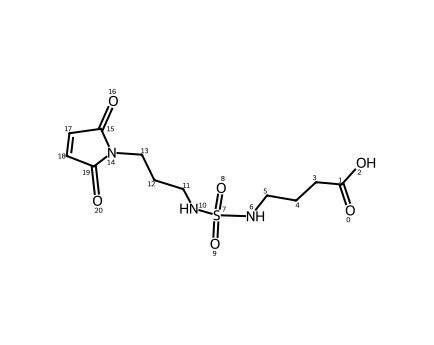 O=C(O)CCCNS(=O)(=O)NCCCN1C(=O)C=CC1=O